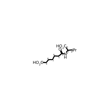 CC(C)C(NC(=O)CCCCCC(=O)O)C(=O)O